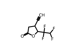 C#CC1CC(=O)OC1C(F)(F)C(F)F